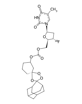 Cc1cn([C@H]2C[C@H]([18F])[C@@H](COC(=O)OC3CCC[C@]4(C3)OOC3(O4)C4CC5CC(C4)CC3C5)O2)c(=O)[nH]c1=O